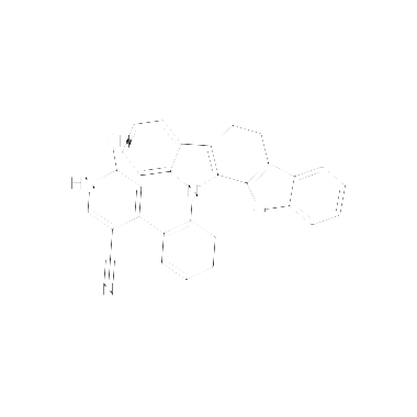 CC1C=C(C2=C(n3c4c(c5ccccc53)CCc3c-4oc4ccccc34)CCC=C2)C(C#N)=CN1